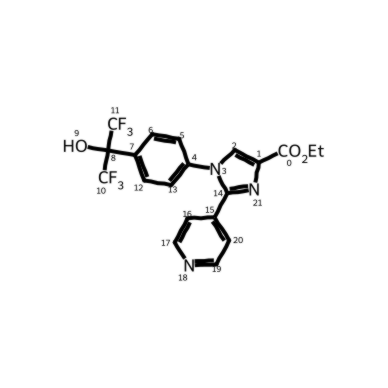 CCOC(=O)c1cn(-c2ccc(C(O)(C(F)(F)F)C(F)(F)F)cc2)c(-c2ccncc2)n1